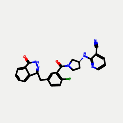 N#Cc1cccnc1N[C@@H]1CCN(C(=O)c2cc(Cc3n[nH]c(=O)c4ccccc34)ccc2F)C1